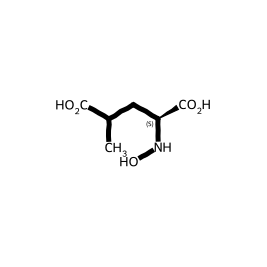 CC(C[C@H](NO)C(=O)O)C(=O)O